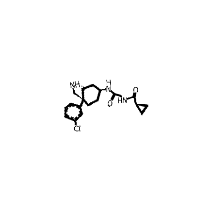 NC[C@]1(c2cccc(Cl)c2)CC[C@H](NC(=O)CNC(=O)C2CC2)CC1